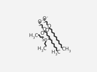 CCCCCCCCCCCC(=O)OCCS[O-].CCCCCCCCCCCC(=O)OCCS[O-].CCC[CH2][Sn+2][CH2]CCC